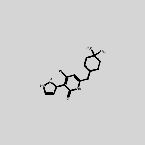 CC1(C)CCC(Cc2cc(N=O)c(C3C=CNN3)c(=O)[nH]2)CC1